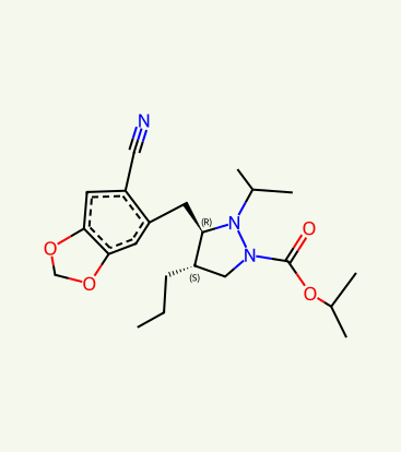 CCC[C@H]1CN(C(=O)OC(C)C)N(C(C)C)[C@@H]1Cc1cc2c(cc1C#N)OCO2